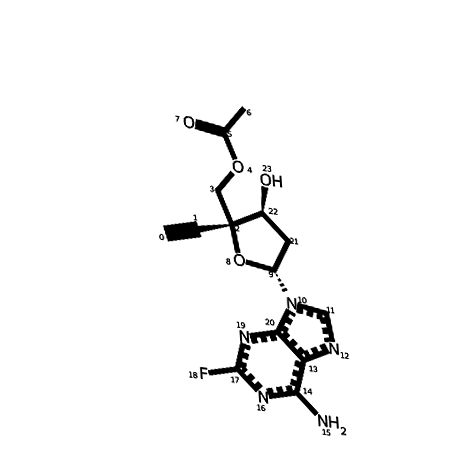 C#C[C@]1(COC(C)=O)O[C@@H](n2cnc3c(N)nc(F)nc32)C[C@@H]1O